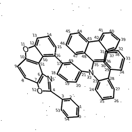 c1ccc(-c2nc3c(ccc4oc5cccc(-c6cccc(N(c7ccccc7-c7ccccc7)c7cc8ccccc8c8ccccc78)c6)c5c43)o2)cc1